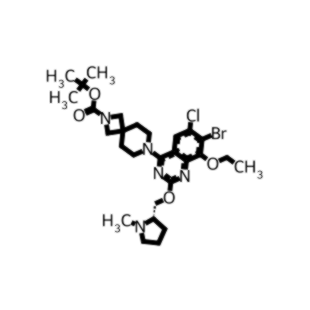 CCOc1c(Br)c(Cl)cc2c(N3CCC4(CC3)CN(C(=O)OC(C)(C)C)C4)nc(OC[C@@H]3CCCN3C)nc12